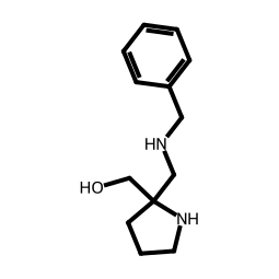 OCC1(CNCc2ccccc2)CCCN1